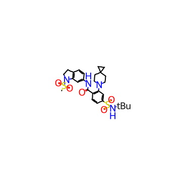 CC(C)(C)NS(=O)(=O)c1ccc(C(=O)Nc2ccc3c(c2)N(S(C)(=O)=O)CC3)c(N2CCC3(CC2)CC3)c1